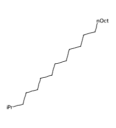 CCCCCCCCCCCCCCCCCCCC(C)C